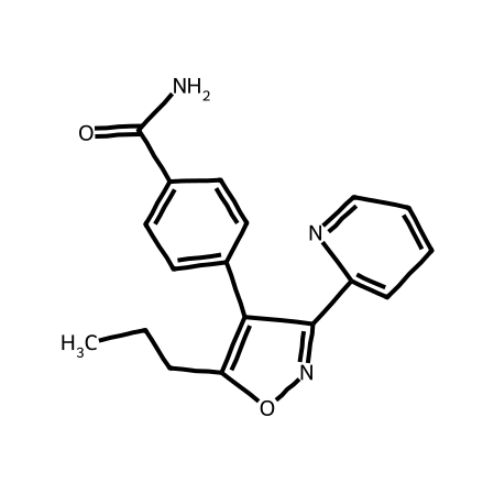 CCCc1onc(-c2ccccn2)c1-c1ccc(C(N)=O)cc1